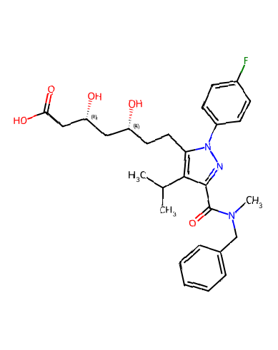 CC(C)c1c(C(=O)N(C)Cc2ccccc2)nn(-c2ccc(F)cc2)c1CC[C@@H](O)C[C@@H](O)CC(=O)O